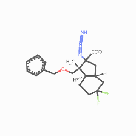 C[C@]1(COCc2ccccc2)[C@@H]2CCC(F)(F)C[C@H]2CC1(N=[N+]=N)C(=O)[O-]